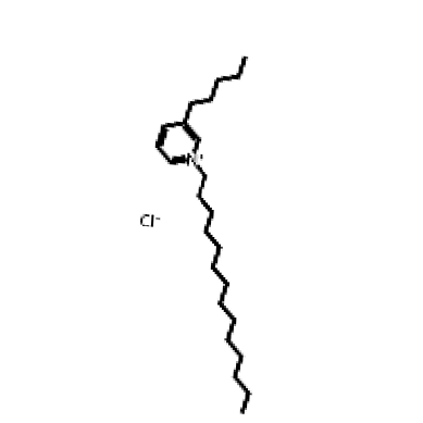 CCCCCCCCCCCCCC[n+]1cccc(CCCCC)c1.[Cl-]